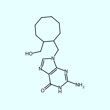 Nc1nc2c(ncn2CC2CCCCCCC2CO)c(=O)[nH]1